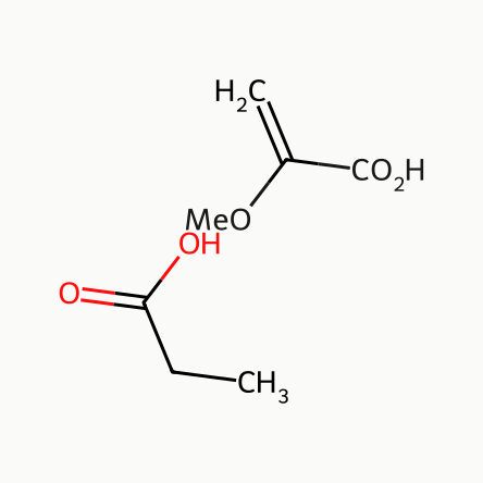 C=C(OC)C(=O)O.CCC(=O)O